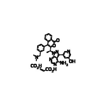 C[C@@H](c1oc(=O)c2ccccc2c1-c1cccc(CN(C)C)c1)n1nc(-c2cncc(O)c2)c2c(N)ncnc21.O=C(O)/C=C\C(=O)O